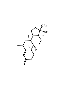 CC(=O)O[C@]1(C(C)=O)CCC2[C@@H]3C[C@H](C)C4=CC(=O)CC[C@]4(C)[C@H]3CC[C@@]21C